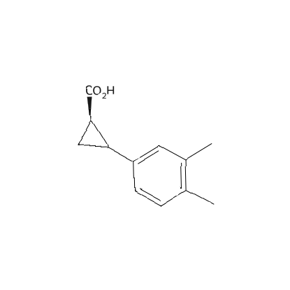 Cc1ccc(C2C[C@H]2C(=O)O)cc1C